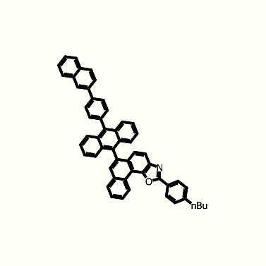 CCCCc1ccc(-c2nc3ccc4c(-c5c6ccccc6c(-c6ccc(-c7ccc8ccccc8c7)cc6)c6ccccc56)cc5ccccc5c4c3o2)cc1